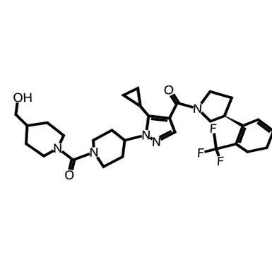 O=C(c1cnn(C2CCN(C(=O)N3CCC(CO)CC3)CC2)c1C1CC1)N1CC[C@@H](C2=C(C(F)(F)F)CCC=C2)C1